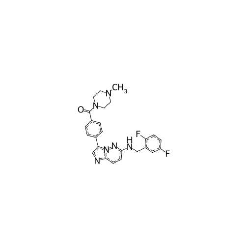 CN1CCN(C(=O)c2ccc(-c3cnc4ccc(NCc5cc(F)ccc5F)nn34)cc2)CC1